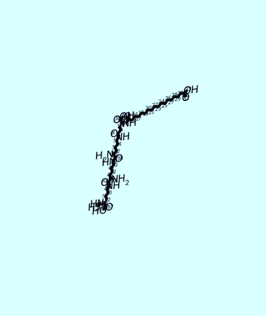 N[C@@H](CCCCNC(=O)CC[C@H](NC(=O)CCCCCCCCCCCCCCCCC(=O)O)C(=O)O)C(=O)NCCCC[C@H](N)C(=O)NCCCC[C@H](NS)C(=O)O